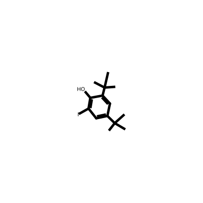 CC(C)(C)c1cc(I)c(O)c(C(C)(C)C)c1